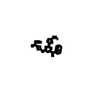 COC(=O)N1CC(Oc2cc(NC3C4CC5CC(C4)CC3C5)nc(-n3ccc(C)n3)n2)C1